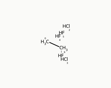 CC.Cl.Cl.F.F.F